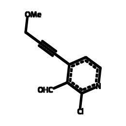 COCC#Cc1ccnc(Cl)c1C=O